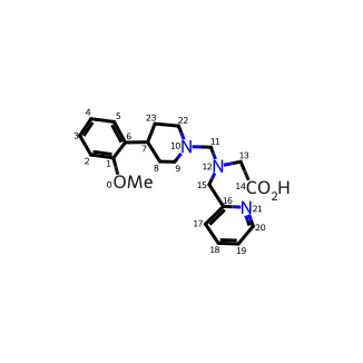 COc1ccccc1C1CCN(CN(CC(=O)O)Cc2ccccn2)CC1